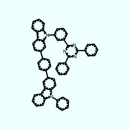 c1ccc(-c2nc(-c3ccccc3)nc(-c3cccc(-n4c5ccccc5c5ccc(-c6ccc(-c7ccc8c(c7)c7ccccc7n8-c7ccccc7)cc6)cc54)c3)n2)cc1